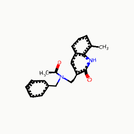 CC(=O)N(Cc1ccccc1)Cc1cc2cccc(C)c2[nH]c1=O